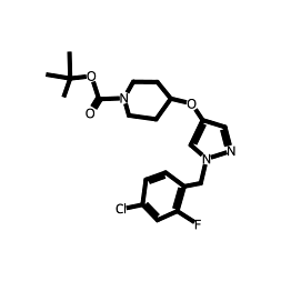 CC(C)(C)OC(=O)N1CCC(Oc2cnn(Cc3ccc(Cl)cc3F)c2)CC1